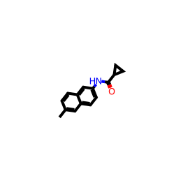 Cc1ccc2cc(NC(=O)C3CC3)ccc2c1